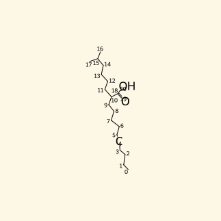 CCCCCCCCCCC(CCCCC(C)C)C(=O)O